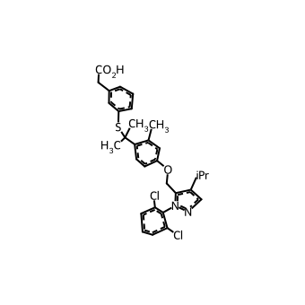 Cc1cc(OCc2c(C(C)C)cnn2-c2c(Cl)cccc2Cl)ccc1C(C)(C)Sc1cccc(CC(=O)O)c1